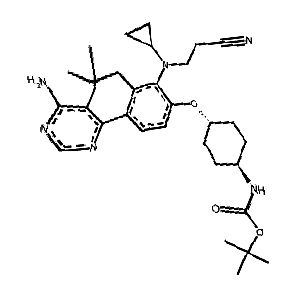 CC(C)(C)OC(=O)N[C@H]1CC[C@H](Oc2ccc3c(c2N(CCC#N)C2CC2)CC(C)(C)c2c(N)ncnc2-3)CC1